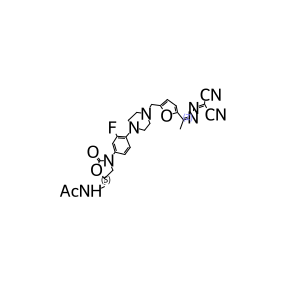 CC(=O)NC[C@H]1CN(c2ccc(N3CCN(Cc4ccc(/C(C)=N\N=C(C#N)C#N)o4)CC3)c(F)c2)C(=O)O1